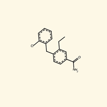 CCc1cc(C(N)=O)ccc1Cc1ccccc1Cl